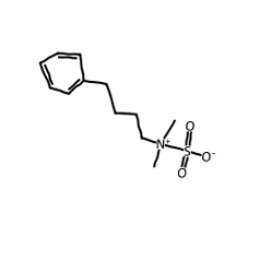 C[N+](C)(CCCCc1ccccc1)S(=O)(=O)[O-]